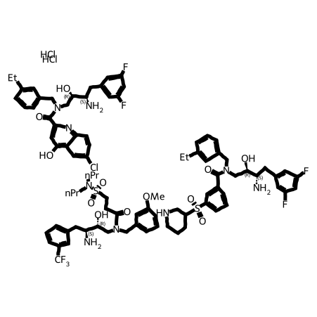 CCCN(CCC)S(=O)(=O)CCC(=O)N(Cc1cccc(OC)c1)C[C@@H](O)[C@@H](N)Cc1cccc(C(F)(F)F)c1.CCc1cccc(CN(C[C@@H](O)[C@@H](N)Cc2cc(F)cc(F)c2)C(=O)c2cc(O)c3cc(Cl)ccc3n2)c1.CCc1cccc(CN(C[C@@H](O)[C@@H](N)Cc2cc(F)cc(F)c2)C(=O)c2cccc(S(=O)(=O)C3CCCNC3)c2)c1.Cl.Cl